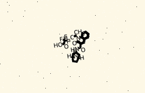 CC(C)n1c(=O)c(C(=O)N[C@@H]2C[C@H]3CC[C@@H](C2)N3)cc2ccccc21.O=C(O)C(F)(F)F